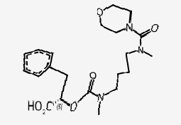 CN(CCCCN(C)C(=O)N1CCOCC1)C(=O)O[C@@H](Cc1ccccc1)C(=O)O